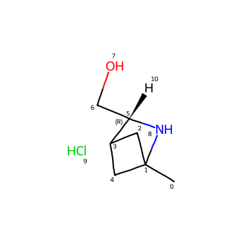 CC12CC(C1)[C@H](CO)N2.Cl